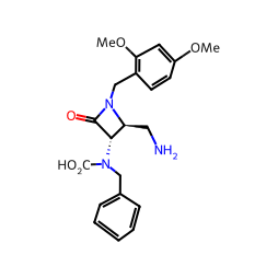 COc1ccc(CN2C(=O)[C@@H](N(Cc3ccccc3)C(=O)O)[C@@H]2CN)c(OC)c1